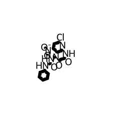 O=C(Nc1ccccc1)Nn1c(=O)c(=O)[nH]c2nc(Cl)cc([N+](=O)[O-])c21